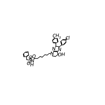 Cc1ccc(-c2nc3c(nc2-c2ccc(Cl)cc2)C(O)CCN3CCCCCCC(=O)NS(=O)(=O)Cc2ccccc2)cc1